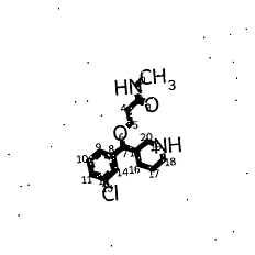 CNC(=O)CCOC(c1cccc(Cl)c1)C1CCCNC1